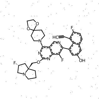 C#Cc1c(F)ccc2cc(O)cc(-c3ncc4c(N5CCC6(CC5)OCCO6)nc(OC[C@@]56CCCN5C[C@H](F)C6)nc4c3F)c12